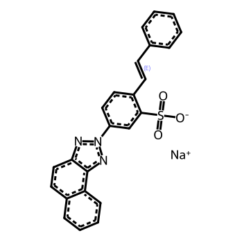 O=S(=O)([O-])c1cc(-n2nc3ccc4ccccc4c3n2)ccc1/C=C/c1ccccc1.[Na+]